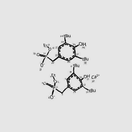 CCOP(=O)([O-])Cc1cc(C(C)(C)C)c(O)c(C(C)(C)C)c1.CCOP(=O)([O-])Cc1cc(C(C)(C)C)c(O)c(C(C)(C)C)c1.[Ca+2]